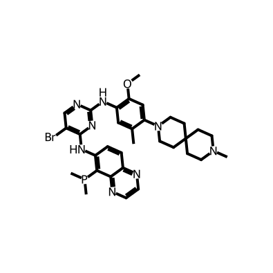 COc1cc(N2CCC3(CCN(C)CC3)CC2)c(C)cc1Nc1ncc(Br)c(Nc2ccc3nccnc3c2P(C)C)n1